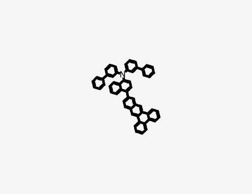 c1ccc(-c2cccc(N(c3cccc(-c4ccccc4)c3)c3ccc(-c4ccc5cc6c7ccccc7c7ccccc7c6cc5c4)c4ccccc34)c2)cc1